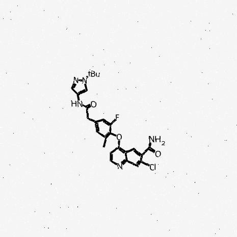 Cc1cc(CC(=O)Nc2cnn(C(C)(C)C)c2)cc(F)c1Oc1ccnc2cc(Cl)c(C(N)=O)cc12